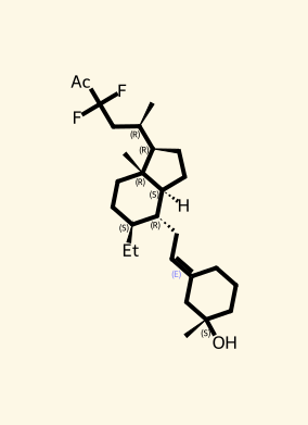 CC[C@H]1CC[C@]2(C)[C@@H]([C@H](C)CC(F)(F)C(C)=O)CC[C@H]2[C@@H]1C/C=C1\CCC[C@](C)(O)C1